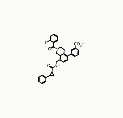 O=C(O)c1cccc(-c2ccc(CNC(=O)C3CC3c3ccccc3)c3c2CCN(C(=O)c2ccccc2F)C3)c1